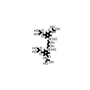 Cc1c(C(=O)NC(CO)CO)c(I)c(N(C=O)CC(O)CC(O)CN(C=O)c2c(C)c(C(=O)NC(CO)CO)c(I)c(C(=O)NC(CO)CO)c2I)c(I)c1C(=O)NC(CO)CO